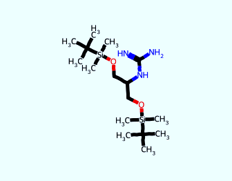 CC(C)(C)[Si](C)(C)OCC(CO[Si](C)(C)C(C)(C)C)NC(=N)N